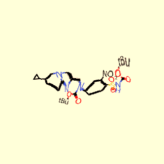 CC(C)(C)OC(=O)NS(=O)(=O)c1ccc(N(Cc2cn3cc(C4CC4)ccc3n2)C(=O)OC(C)(C)C)cc1[N+](=O)[O-]